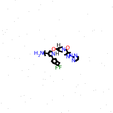 Cc1nn(-c2ncccn2)cc1C(=O)N1C[C@@H]2C(Oc3cc(C(C)(C)N)cc(-c4ccc5c(c4)CC5(F)F)n3)[C@@H]2C1